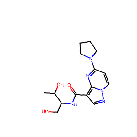 CC(O)C(CO)NC(=O)c1cnn2ccc(N3CCCC3)nc12